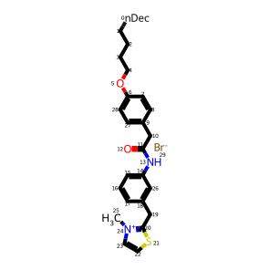 CCCCCCCCCCCCCCOc1ccc(CC(=O)Nc2cccc(Cc3scc[n+]3C)c2)cc1.[Br-]